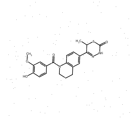 COc1cc(C(=O)N2CCCc3cc(C4=NNC(=O)SC4C)ccc32)ccc1O